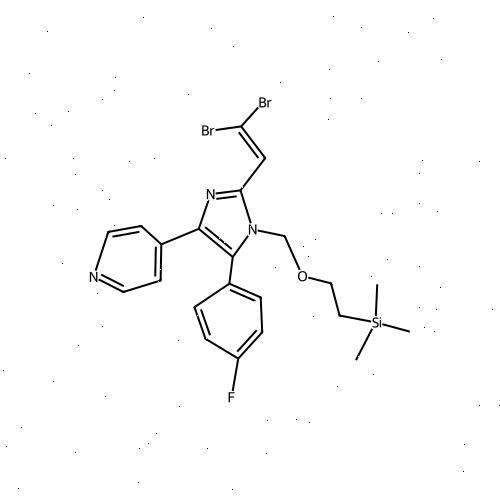 C[Si](C)(C)CCOCn1c(C=C(Br)Br)nc(-c2ccncc2)c1-c1ccc(F)cc1